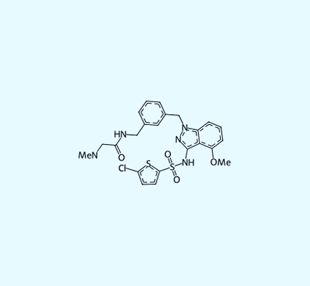 CNCC(=O)NCc1cccc(Cn2nc(NS(=O)(=O)c3ccc(Cl)s3)c3c(OC)cccc32)c1